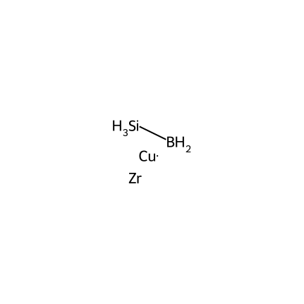 B[SiH3].[Cu].[Zr]